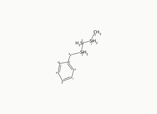 C[SiH2][SiH2][SiH2]Cc1ccccc1